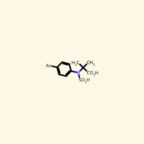 CC(=O)c1ccc(N(C(C)(C)C(=O)O)S(=O)(=O)O)cc1